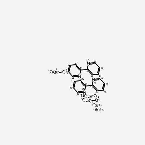 O=C([O-])[O-].O=C([O-])[O-].O=C([O-])[O-].[Ru+3].[Ru+3].c1ccc(-c2ccccn2)nc1.c1ccc(-c2ccccn2)nc1